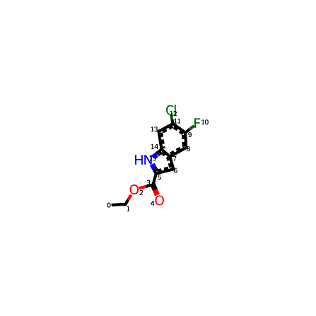 CCOC(=O)c1cc2cc(F)c(Cl)cc2[nH]1